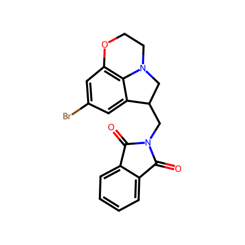 O=C1c2ccccc2C(=O)N1CC1CN2CCOc3cc(Br)cc1c32